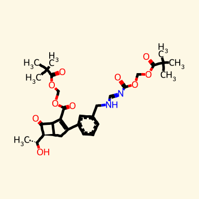 C[C@@H](O)[C@H]1C(=O)C2C(C(=O)OCOC(=O)C(C)(C)C)=C(c3cccc(CN/C=N/C(=O)OCOC(=O)C(C)(C)C)c3)CC21